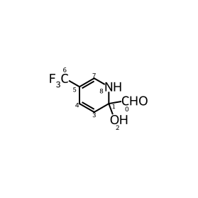 O=CC1(O)C=CC(C(F)(F)F)=CN1